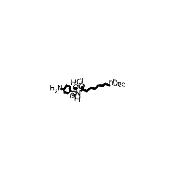 CCCCCCCCCCCCCCCCCC(=O)NS(=O)(=O)c1ccc(N)cc1.Cl